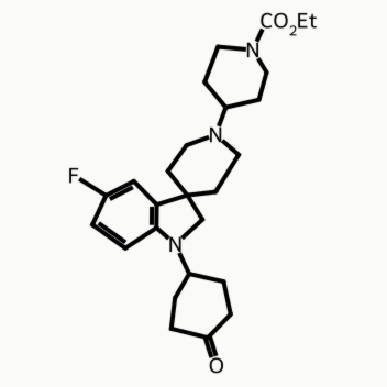 CCOC(=O)N1CCC(N2CCC3(CC2)CN(C2CCC(=O)CC2)c2ccc(F)cc23)CC1